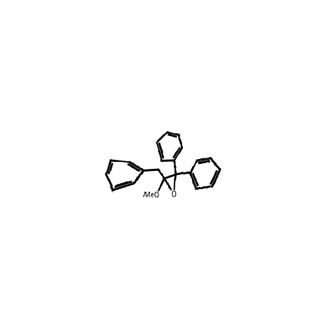 COC1(Cc2ccccc2)OC1(c1ccccc1)c1ccccc1